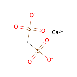 O=S(=O)([O-])CS(=O)(=O)[O-].[Ca+2]